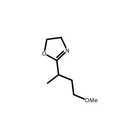 COCCC(C)C1=NCCO1